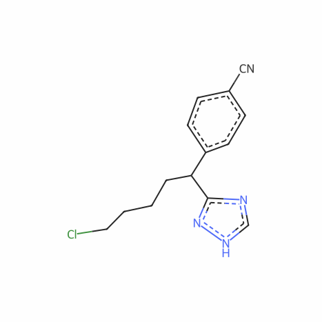 N#Cc1ccc(C(CCCCCl)c2nc[nH]n2)cc1